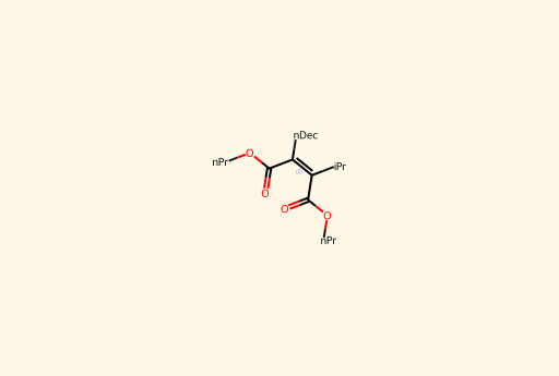 CCCCCCCCCC/C(C(=O)OCCC)=C(/C(=O)OCCC)C(C)C